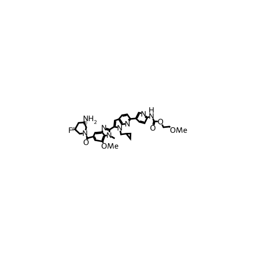 COCCOC(=O)Nc1ccc(-c2ccc3cc(-c4nc5cc(C(=O)N6C[C@H](N)C[C@@H](F)C6)cc(OC)c5n4C)n(CC4CC4)c3n2)cn1